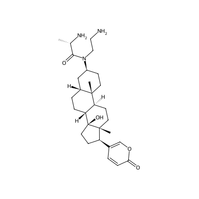 C[C@H](N)C(=O)N(CCN)[C@H]1CC[C@@]2(C)[C@H](CC[C@@H]3[C@@H]2CC[C@]2(C)[C@@H](c4ccc(=O)oc4)CC[C@]32O)C1